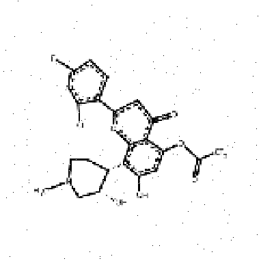 CN1CC[C@H](c2c(O)cc(OC(=O)C(F)(F)F)c3c(=O)cc(-c4ccc(F)cc4Cl)oc23)[C@H](O)C1